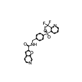 O=C(NCc1ccc(S(=O)(=O)c2cccnc2C(F)(F)F)cc1)c1cc2ccncc2o1